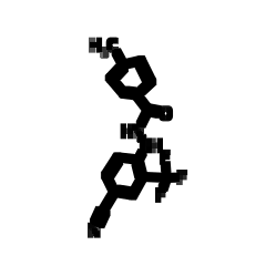 Cc1ccc(C(=O)NNc2ccc(C#N)cc2C(F)(F)F)cc1